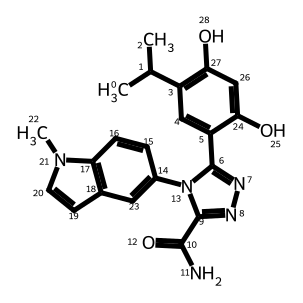 CC(C)c1cc(-c2nnc(C(N)=O)n2-c2ccc3c(ccn3C)c2)c(O)cc1O